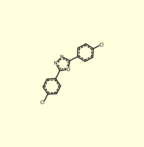 Clc1ccc(-c2nnc(-c3ccc(Cl)cc3)o2)cc1